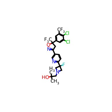 CC(C)(O)CN1CC(F)(c2ccc(C3=NOC(c4cc(Cl)c(Cl)c(C(F)(F)F)c4)(C(F)(F)F)C3)cn2)C1